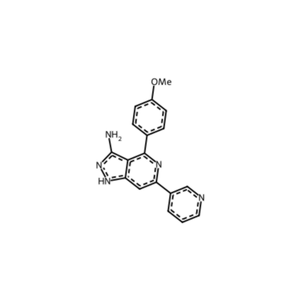 COc1ccc(-c2nc(-c3cccnc3)cc3[nH]nc(N)c23)cc1